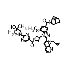 COc1cc(C(=O)N2CC3CC4CC2[C@H]43)cc2nc(-c3cc4cccnc4n3CC3CC3)n(C3CN(C(=O)c4cnc(NCC(C)(C)O)nc4)C3)c12